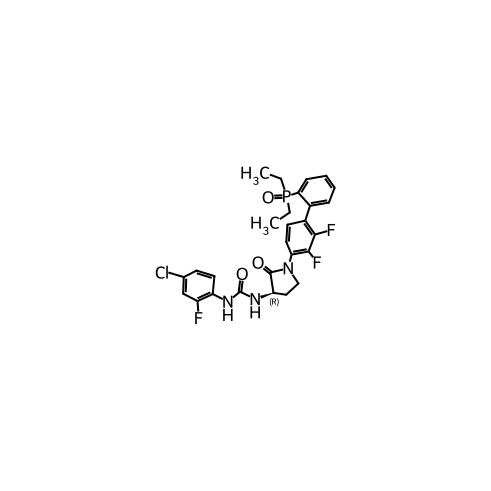 CCP(=O)(CC)c1ccccc1-c1ccc(N2CC[C@@H](NC(=O)Nc3ccc(Cl)cc3F)C2=O)c(F)c1F